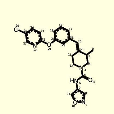 CC1CN(C(=O)Nc2cnoc2)CCC1=Cc1cccc(Oc2ccc(Cl)cn2)c1